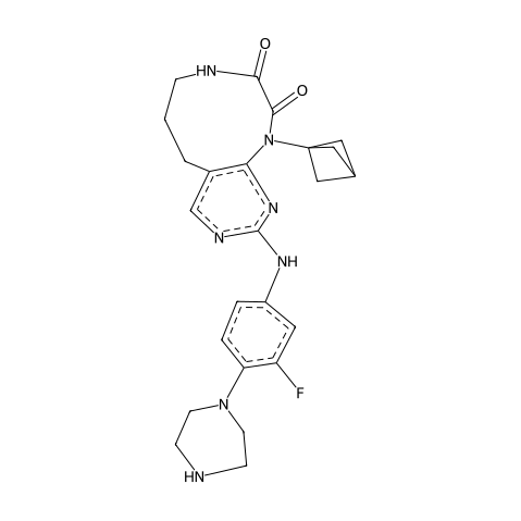 O=C1NCCCc2cnc(Nc3ccc(N4CCNCC4)c(F)c3)nc2N(C23CC(C2)C3)C1=O